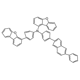 c1ccc(-c2ccc3cc(-c4ccc(N(c5ccc(-c6cccc7c6oc6ccccc67)cc5)c5cccc6oc7ccccc7c56)cc4)ccc3c2)cc1